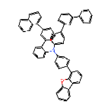 c1ccc(-c2cccc(-c3ccc(N(c4ccc(-c5cccc6c5oc5ccccc56)cc4)c4ccccc4-c4cccc(-c5cccc6ccccc56)c4)cc3)c2)cc1